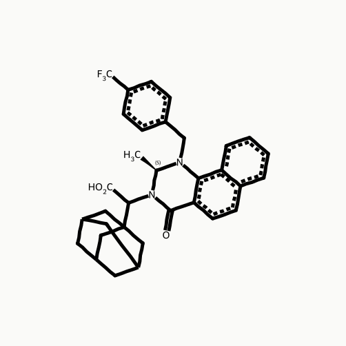 C[C@H]1N(Cc2ccc(C(F)(F)F)cc2)c2c(ccc3ccccc23)C(=O)N1C(C(=O)O)C12CC3CC(CC(C3)C1)C2